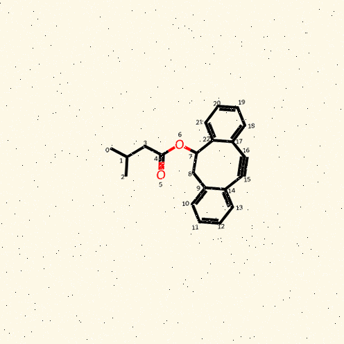 CC(C)CC(=O)OC1Cc2ccccc2C#Cc2ccccc21